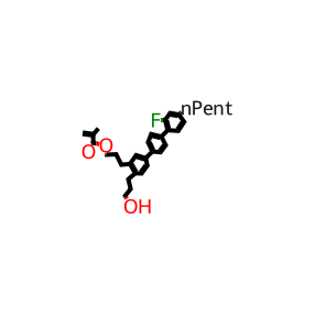 C=C(C)C(=O)OCCCc1cc(-c2ccc(-c3ccc(CCCCC)cc3F)cc2)ccc1CCCO